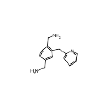 NCc1ccc(CN)c(Cc2ccccn2)c1